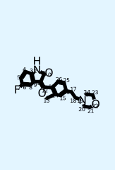 O=C1Nc2ccc(F)cc2C1=C1OCc2cc(CCN3CCOCC3)ccc21